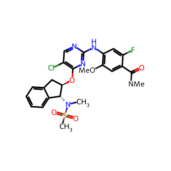 CNC(=O)c1cc(OC)c(Nc2ncc(Cl)c(O[C@@H]3Cc4ccccc4[C@H]3N(C)S(C)(=O)=O)n2)cc1F